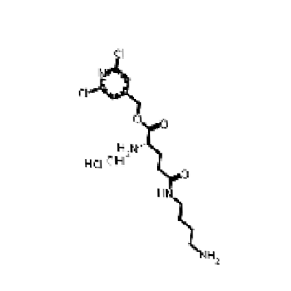 Cl.Cl.NCCCCNC(=O)CC[C@H](N)C(=O)OCc1cc(Cl)nc(Cl)c1